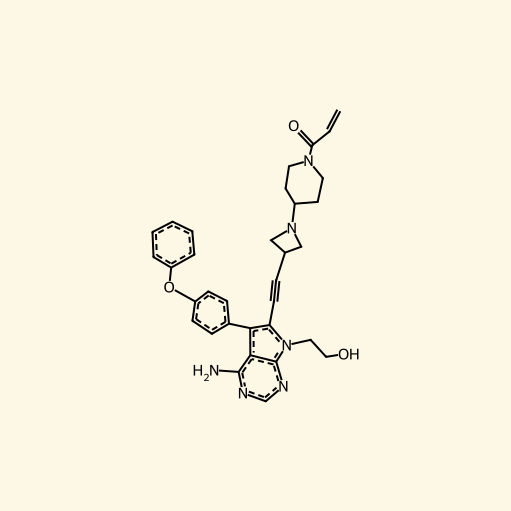 C=CC(=O)N1CCC(N2CC(C#Cc3c(-c4ccc(Oc5ccccc5)cc4)c4c(N)ncnc4n3CCO)C2)CC1